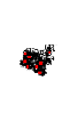 CC(=O)[O-].CC(=O)[O-].Cc1ccccc1[P+](Cc1cc([N+](=O)[O-])cc([N+](=O)[O-])c1)(c1ccccc1C)c1ccccc1C.Cc1ccccc1[P+](Cc1cc([N+](=O)[O-])cc([N+](=O)[O-])c1)(c1ccccc1C)c1ccccc1C